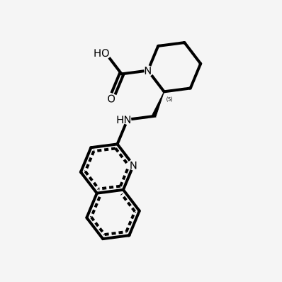 O=C(O)N1CCCC[C@H]1CNc1ccc2ccccc2n1